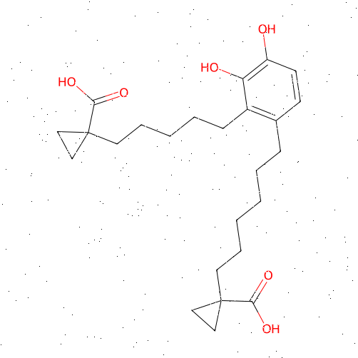 O=C(O)C1(CCCCCCc2ccc(O)c(O)c2CCCCCC2(C(=O)O)CC2)CC1